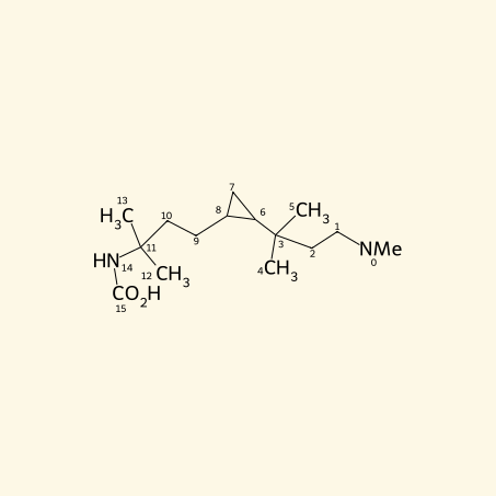 CNCCC(C)(C)C1CC1CCC(C)(C)NC(=O)O